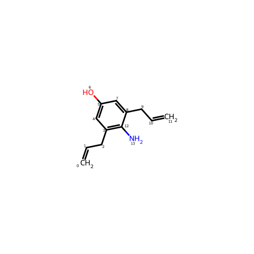 C=CCc1cc(O)cc(CC=C)c1N